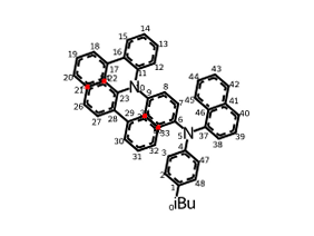 CCC(C)c1ccc(N(c2ccc(N(c3ccccc3-c3ccccc3)c3ccccc3-c3ccccc3)cc2)c2cccc3ccccc23)cc1